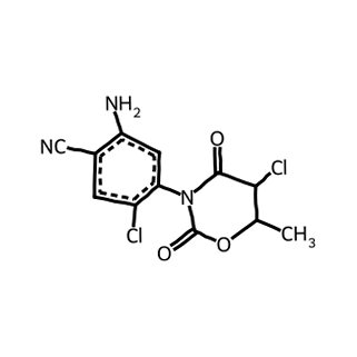 CC1OC(=O)N(c2cc(N)c(C#N)cc2Cl)C(=O)C1Cl